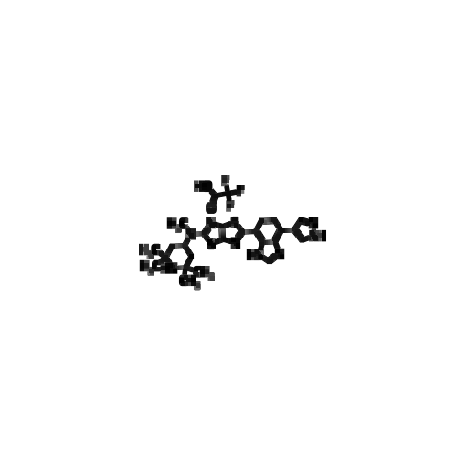 CN(c1nc2sc(-c3ccc(-c4cn[nH]c4)c4nc[nH]c34)nc2s1)C1CC(C)(C)NC(C)(C)C1.O=C(O)C(F)(F)F